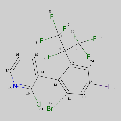 FC(F)(F)C(F)(c1cc(I)[c]c(Br)c1-c1cccnc1Cl)C(F)(F)F